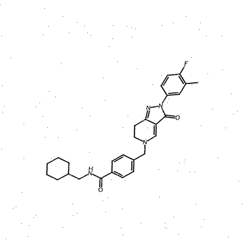 Cc1cc(N2N=C3CCN(Cc4ccc(C(=O)NCC5CCCCC5)cc4)C=C3C2=O)ccc1F